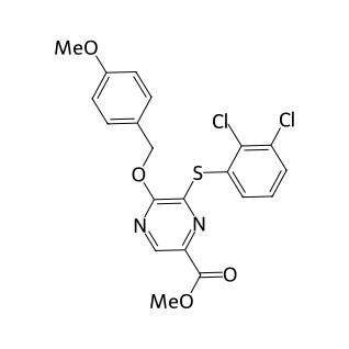 COC(=O)c1cnc(OCc2ccc(OC)cc2)c(Sc2cccc(Cl)c2Cl)n1